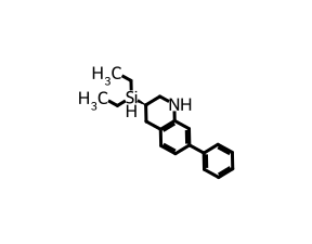 CC[SiH](CC)[C@H]1CNc2cc(-c3ccccc3)ccc2C1